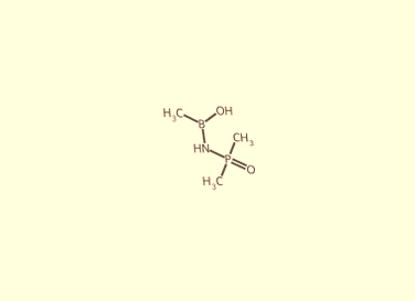 CB(O)NP(C)(C)=O